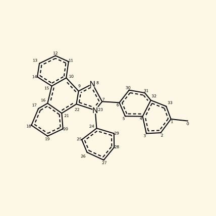 Cc1ccc2cc(-c3nc4c5ccccc5c5ccccc5c4n3-c3ccccc3)ccc2c1